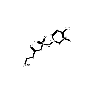 CCCCCCCCCCCCC(=S)CS(=O)(=O)ON1C=CC(CC)=C(C)C1